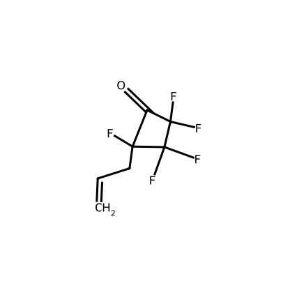 C=CCC1(F)C(=O)C(F)(F)C1(F)F